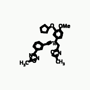 COc1ccc([C@@H](C#Cc2cccc(-c3noc(C)n3)c2)Cc2nc(C)co2)cc1OC1CCCC1